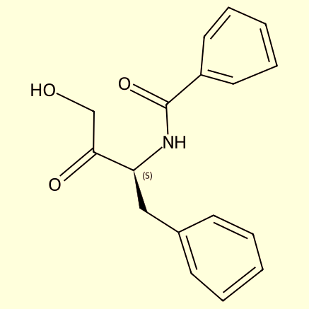 O=C(N[C@@H](Cc1ccccc1)C(=O)CO)c1ccccc1